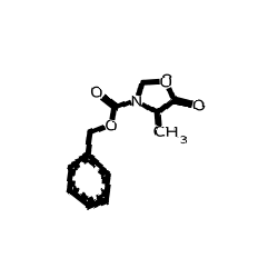 CC1C(=O)OCN1C(=O)OCc1ccccc1